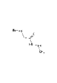 CBBC(=O)CSC(C)CC